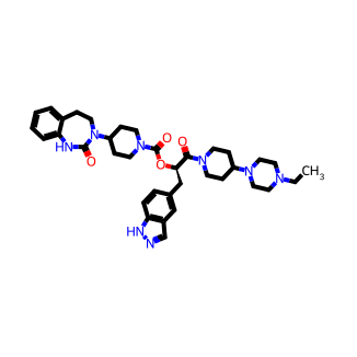 CCN1CCN(C2CCN(C(=O)[C@@H](Cc3ccc4[nH]ncc4c3)OC(=O)N3CCC(N4CCc5ccccc5NC4=O)CC3)CC2)CC1